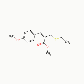 CCSC/C(=C/c1ccc(OC)cc1)C(=O)OC